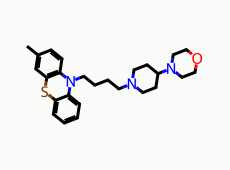 Cc1ccc2c(c1)Sc1ccccc1N2CCCCN1CCC(N2CCOCC2)CC1